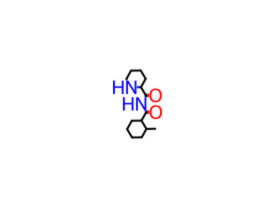 CC1CCCCC1C(=O)NC(=O)C1CCCCN1